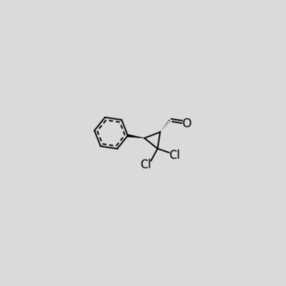 O=C[C@H]1[C@H](c2ccccc2)C1(Cl)Cl